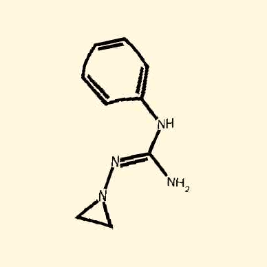 NC(=NN1CC1)Nc1ccccc1